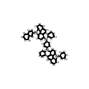 c1ccc(N(c2ccc(N(c3ccccc3)c3ccc4c5c3ccc3cccc(c35)n4-c3ccc4ccccc4c3)cc2)c2ccc3c4c2ccc2cccc(c24)n3-c2ccccc2)cc1